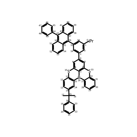 CC(C)c1cc(-c2cc3c4c(c2)Sc2ccc(C(C)(C)c5ccccc5)cc2B4c2ccccc2S3)cc(-c2c3ccccc3c(-c3ccccc3)c3ccccc23)c1